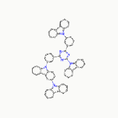 c1cc(-c2nc(-c3cccc(-n4c5ccccc5c5cc(-n6c7ccccc7c7ccccc76)ccc54)c3)nc(-n3c4ccccc4c4ccccc43)n2)cc(-n2c3ccccc3c3ccccc32)c1